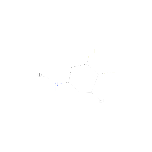 CCC1CC(NC(C)(C)C)CC(S)C1S